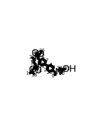 C=C(c1ccc(-c2ccc3c(c2)N(C(=O)OC(C)C)CC(C)N3C(=O)OC)cc1)N1CC(O)C1